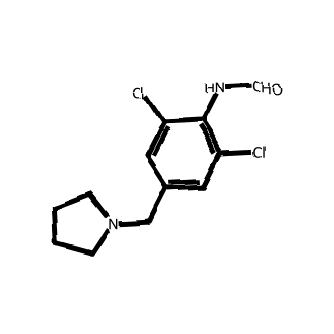 O=CNc1c(Cl)cc(CN2CCCC2)cc1Cl